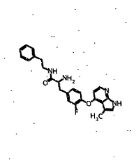 Cc1c[nH]c2nccc(Oc3ccc(CC(N)C(=O)NCCc4ccccc4)cc3F)c12